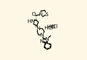 Cl.Cl.Cl.Cn1c(N2CCN([C@@H]3CN[C@H](C(=O)N4CCSC4)C3)CC2)nc2ccccc21